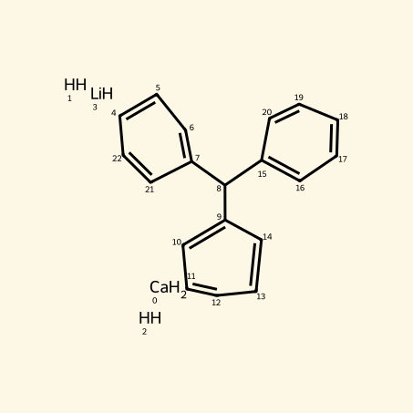 [CaH2].[HH].[HH].[LiH].c1ccc(C(c2ccccc2)c2ccccc2)cc1